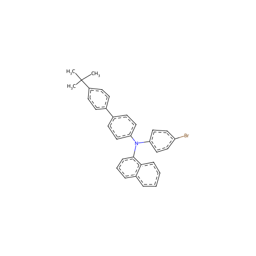 CC(C)(C)c1ccc(-c2ccc(N(c3ccc(Br)cc3)c3cccc4ccccc34)cc2)cc1